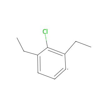 CCc1[c]ccc(CC)c1Cl